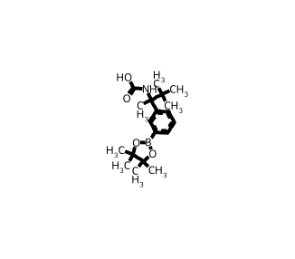 CC(C)(C)C(C)(NC(=O)O)c1cccc(B2OC(C)(C)C(C)(C)O2)c1